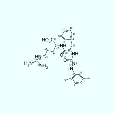 Cc1ccc(C)c(/N=N/C(=O)NC(Cc2ccccc2)C(=O)NC(CCCNC(N)N)C(=O)O)c1